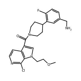 COCCn1cc(C(=O)N2CCC(c3cc(CN)ccc3F)CC2)c2ccnc(Cl)c21